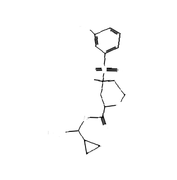 CC1(S(=O)(=O)c2cccc(C(F)(F)F)c2)CCOC(C(=O)NC(C(=O)O)C2CC2)C1